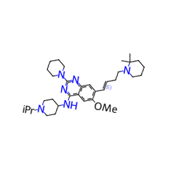 COc1cc2c(NC3CCN(C(C)C)CC3)nc(N3CCCCC3)nc2cc1/C=C/CCN1CCCCC1(C)C